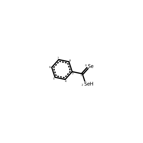 [Se]=C([SeH])c1ccccc1